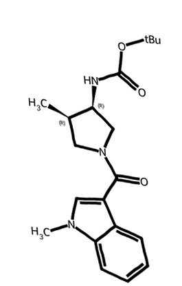 C[C@@H]1CN(C(=O)c2cn(C)c3ccccc23)C[C@@H]1NC(=O)OC(C)(C)C